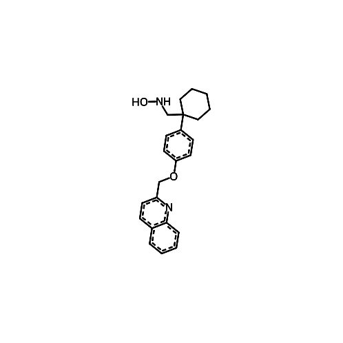 ONCC1(c2ccc(OCc3ccc4ccccc4n3)cc2)CCCCC1